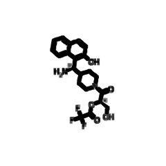 N[C@@H](c1c(O)ccc2ccccc12)C1CCN(C(=O)[C@@H](CO)OC(=O)C(F)(F)F)CC1